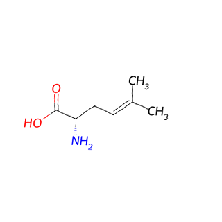 CC(C)=CC[C@H](N)C(=O)O